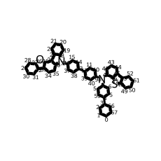 c1ccc(-c2ccc(N(c3ccc(-c4ccc(-n5c6ccccc6c6c7oc8ccccc8c7ccc65)cc4)cc3)c3cccc4c3sc3ccccc34)cc2)cc1